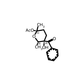 CC(=O)O[C@@]1(C)CC[C@](O)(C(=O)c2ccccc2)[C@@H](C)O1